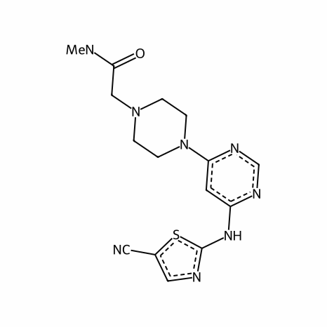 CNC(=O)CN1CCN(c2cc(Nc3ncc(C#N)s3)ncn2)CC1